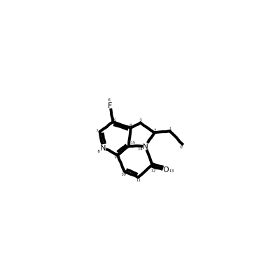 CCC1Cc2c(F)cnc3ccc(=O)n1c23